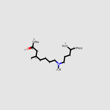 CCCCCC(CCCN(C#N)CCCCC(C)CC(=O)OC)OC(C)=O